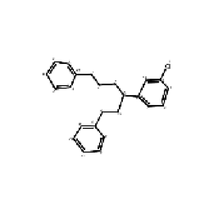 Clc1cccc([C](CCCc2ccccc2)CCc2ccccc2)c1